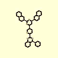 c1ccc(-c2nc(-c3ccc(-c4cc(-c5ccc6ccccc6c5)nc(-c5ccc6ccccc6c5)n4)cn3)nc3ccccc23)cc1